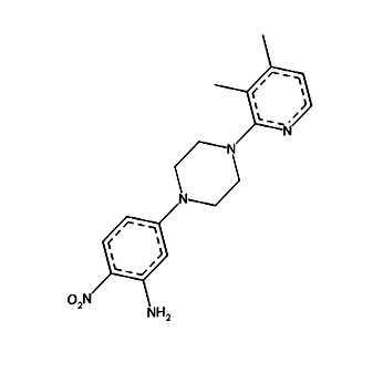 Cc1ccnc(N2CCN(c3ccc([N+](=O)[O-])c(N)c3)CC2)c1C